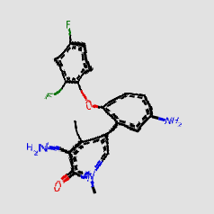 Cc1c(-c2cc(N)ccc2Oc2ccc(F)cc2F)cn(C)c(=O)c1N